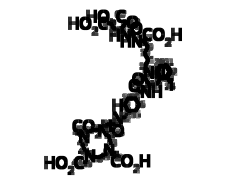 O=C(O)CC[C@H](NC(=O)N[C@@H](CCCCNC(=O)[C@H](Cc1ccccc1I)NC(=O)[C@H]1CC[C@H](CNC(=O)CN2CCN(CC(=O)O)CCN(CC(=O)O)CCN(CC(=O)O)CC2)CC1)C(=O)O)C(=O)C(=O)O